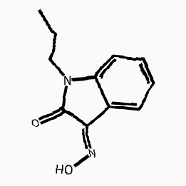 CCCN1C(=O)C(=NO)c2ccccc21